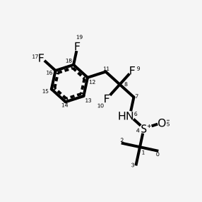 CC(C)(C)[S+]([O-])NCC(F)(F)Cc1cccc(F)c1F